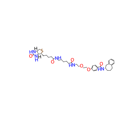 O=C(CCCC[C@@H]1SC[C@@H]2NC(=O)N[C@@H]21)NCCCCCC(=O)NCCOCCOc1ccc(C(=O)N[C@H]2CCCc3ccccc3C2)cc1